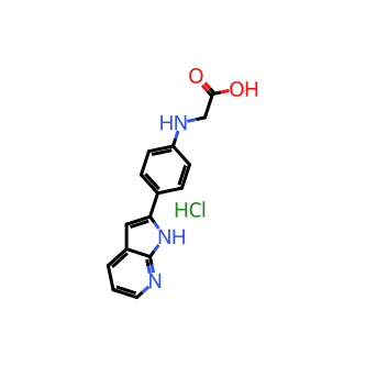 Cl.O=C(O)CNc1ccc(-c2cc3cccnc3[nH]2)cc1